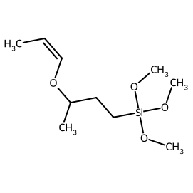 C/C=C\OC(C)CC[Si](OC)(OC)OC